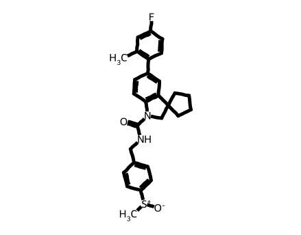 Cc1cc(F)ccc1-c1ccc2c(c1)C1(CCCC1)CN2C(=O)NCc1ccc([S+](C)[O-])cc1